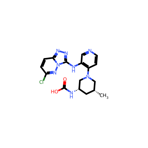 C[C@@H]1C[C@H](NC(=O)O)CN(c2ccncc2Nc2nnc3ccc(Cl)nn23)C1